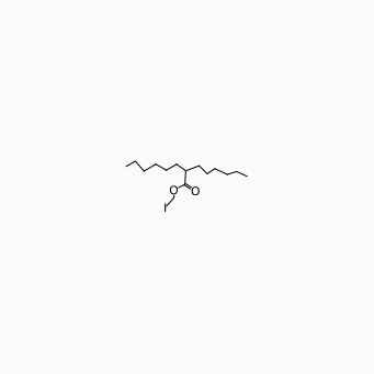 CCCCCCC(CCCCCC)C(=O)OCI